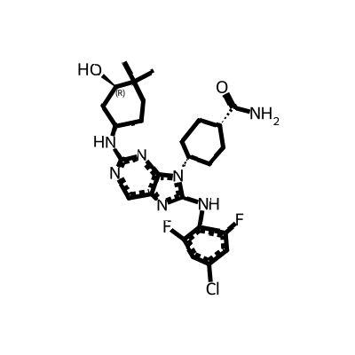 CC1(C)CCC(Nc2ncc3nc(Nc4c(F)cc(Cl)cc4F)n([C@H]4CC[C@@H](C(N)=O)CC4)c3n2)C[C@H]1O